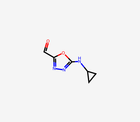 O=Cc1nnc(NC2CC2)o1